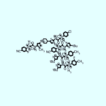 CC(C)(C(=O)Nc1ncc(C2CCOCC2)s1)S(=O)(=O)c1ccc(Cl)cc1.CC(C)(C)c1csc(NC(=O)C(C)(C)S(=O)(=O)c2ccc(C#N)cc2F)n1.Cc1ccc(S(=O)(=O)C(C)(C)C(=O)Nc2cc(C(C)(C)C)no2)cc1.Cc1ccc(S(=O)(=O)C(C)(C)C(=O)Nc2cc(C(C)(C)C)no2)cc1F.Cn1nc(C(C)(C)C)cc1NC(=O)C(C)(C)S(=O)(=O)c1ccc(C#N)cc1F